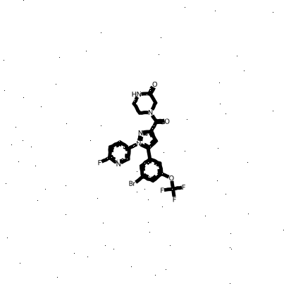 O=C1CN(C(=O)c2cc(-c3cc(Br)cc(OC(F)(F)F)c3)n(-c3ccc(F)nc3)n2)CCN1